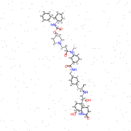 C[C@H](Cc1ccc(CNC(=O)c2cccc(N(C)C(=O)CCN3CCC(OC(=O)Nc4ccccc4-c4ccccc4)CC3)c2)cc1)NC[C@H](O)c1ccc(O)c2[nH]c(=O)ccc12